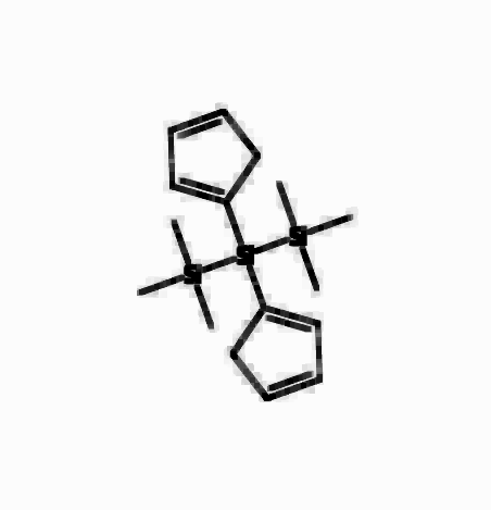 C[Si](C)(C)[Si](C1=CC=CC1)(C1=CC=CC1)[Si](C)(C)C